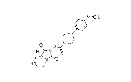 COc1ccc(N2CCN(C(=O)ON3C(=O)[C@@H]4CNCCN4C3=O)CC2)cc1